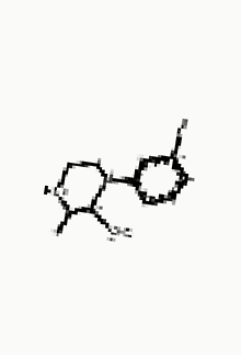 CC1NCCN(c2cccc(Cl)c2)C1C=O